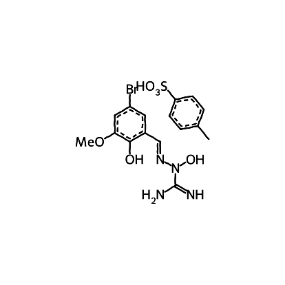 COc1cc(Br)cc(C=NN(O)C(=N)N)c1O.Cc1ccc(S(=O)(=O)O)cc1